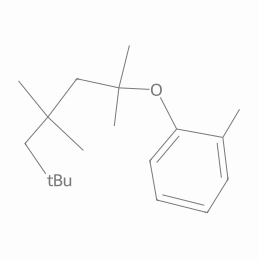 Cc1ccccc1OC(C)(C)CC(C)(C)CC(C)(C)C